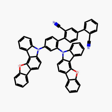 N#Cc1ccccc1-c1ccc(-c2ccc(-n3c4ccccc4c4c5oc6ccccc6c5ccc43)cc2-n2c3ccccc3c3c4oc5ccccc5c4ccc32)c(C#N)c1